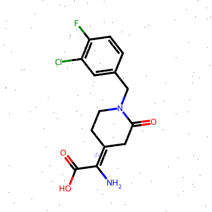 N/C(C(=O)O)=C1/CCN(Cc2ccc(F)c(Cl)c2)C(=O)C1